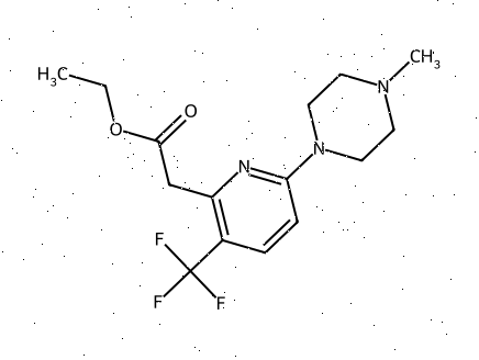 CCOC(=O)Cc1nc(N2CCN(C)CC2)ccc1C(F)(F)F